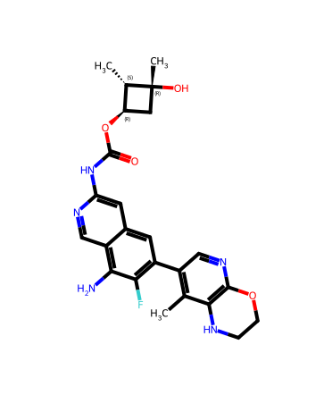 Cc1c(-c2cc3cc(NC(=O)O[C@@H]4C[C@@](C)(O)[C@H]4C)ncc3c(N)c2F)cnc2c1NCCO2